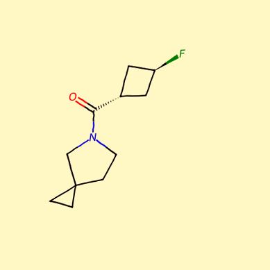 O=C([C@H]1C[C@H](F)C1)N1CCC2(CC2)C1